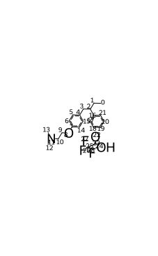 CCC(Cc1ccc(OCCN(C)C)cc1)c1ccccc1.O=C(O)C(F)(F)F